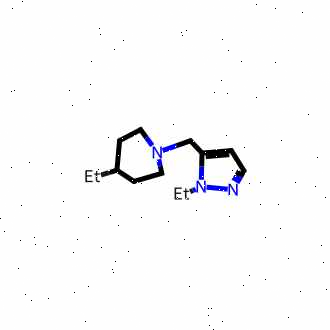 CCC1CCN(Cc2ccnn2CC)CC1